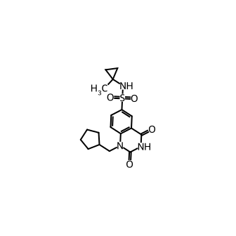 CC1(NS(=O)(=O)c2ccc3c(c2)c(=O)[nH]c(=O)n3CC2CCCC2)CC1